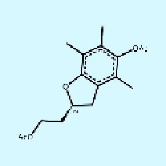 CC(=O)OCC[C@@H]1Cc2c(C)c(OC(C)=O)c(C)c(C)c2O1